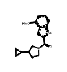 COc1cccc2[nH]c(C(=O)N3CCC(C4CC4)C3)cc12